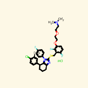 COc1cc(C2CCCc3nc(SCc4c(F)ccc(OCCOCCN(C)C)c4F)n(-c4ccc(F)cc4)c32)ccc1Cl.Cl